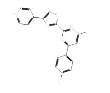 FC(F)(F)c1cc(-c2ccc(Cl)cc2)nc(-c2nc(-c3ccncc3)c[nH]2)n1